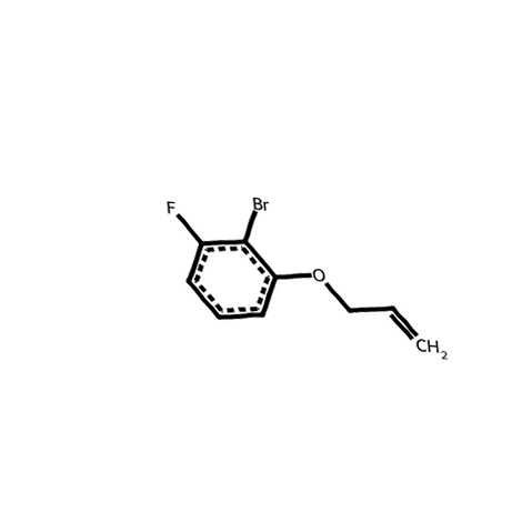 C=CCOc1cccc(F)c1Br